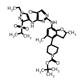 CCn1cc(Nc2nc(Nc3cc(C)c(C4CCN(C(=O)OC(C)(C)C)CC4)c4c3O[C@H](C)C4)ncc2Cl)c(S(=O)(=O)C(C)C)n1